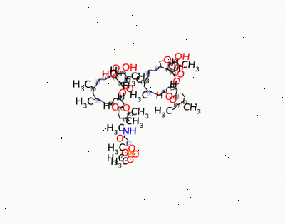 CC1=C[C@H]2C(=O)O[C@H]3C[C@@H](C/C=C(\C)C[C@@H](C)/C=C/C=C4\CO[C@H]([C@@H]1O)[C@@]42O)O[C@@]1(CC[C@H](C)[C@@H](C)O1)C3.CC[C@H]1O[C@]2(CC[C@@H]1C)C[C@@H]1C[C@@H](C/C=C(\C)C[C@@H](C)/C=C/C=C3\CO[C@@H]4[C@H](O)C(C)=C[C@@H](C(=O)O1)[C@]34O)O2.CNC(=O)/C=C(\C)OP(=O)(OC)OC